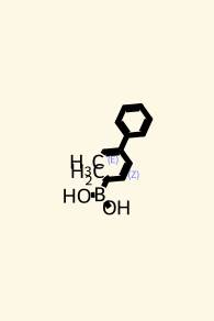 C=C(/C=C\C(=C/C)c1ccccc1)B(O)O